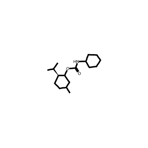 CC1CC[C@@H](C(C)C)C(OC(=O)NC2CCCCC2)C1